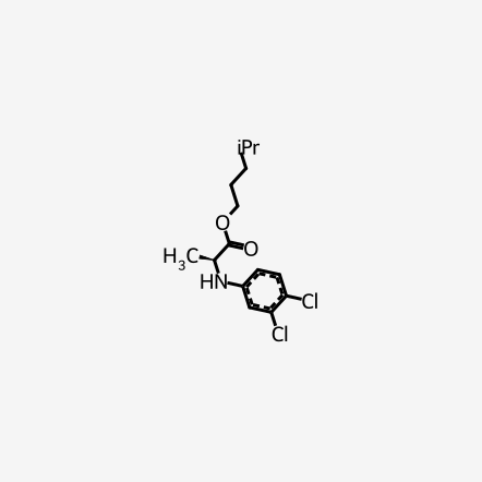 CC(C)CCCOC(=O)[C@H](C)Nc1ccc(Cl)c(Cl)c1